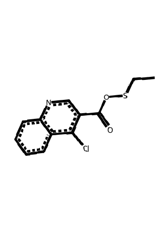 CCSOC(=O)c1cnc2ccccc2c1Cl